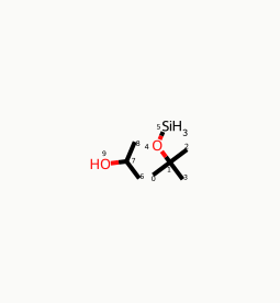 CC(C)(C)O[SiH3].CC(C)O